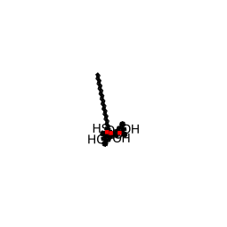 CCCCCCCCCCCCCCCCCCCCCCC(C)(S)OC(=O)C(Cc1cc(C(C)(C)C)c(O)c(C(C)(C)C)c1)(Cc1cc(C(C)(C)C)c(O)c(C(C)(C)C)c1)C(=O)O